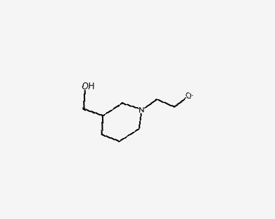 [O]CCN1CCCC(CO)C1